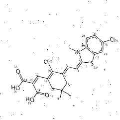 CN1/C(=C\C=C2/CC(C)(C)CC(C=C(C(=O)O)C(=O)O)=C2Cl)Sc2cc(Cl)ccc21